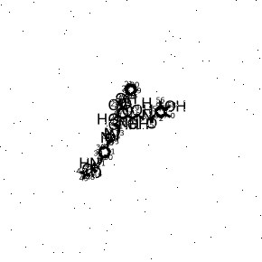 Cc1cc(C(=O)NC[C@@H](O)[C@@H](O)[C@@H]2O[C@@](OCc3ccccc3)(C(=O)O)C[C@H](O)[C@H]2NC(=O)Cn2cc(C3CCC(CNC(=O)OC(C)(C)C)CC3)nn2)cc(C)c1O